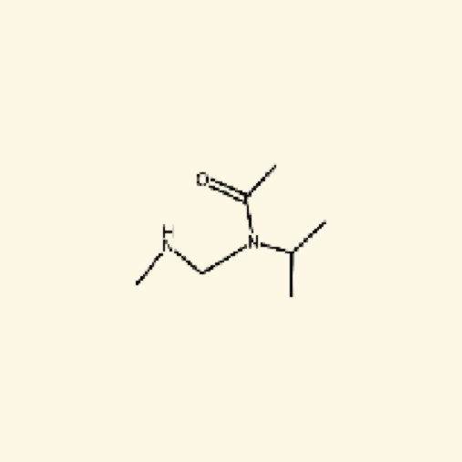 CNCN(C(C)=O)C(C)C